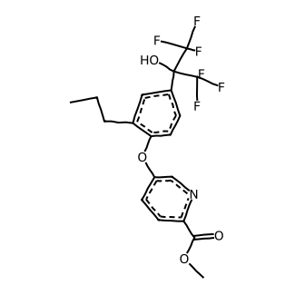 CCCc1cc(C(O)(C(F)(F)F)C(F)(F)F)ccc1Oc1ccc(C(=O)OC)nc1